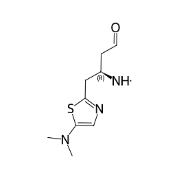 CN(C)c1cnc(C[C@H]([NH])CC=O)s1